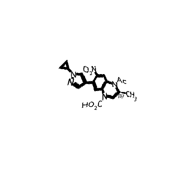 CC(=O)N1c2cc([N+](=O)[O-])c(-c3cnn(C4CC4)c3)cc2N(C(=O)O)C[C@@H]1C